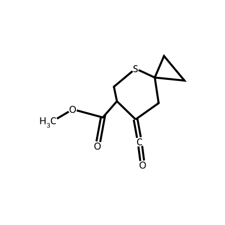 COC(=O)C1CSC2(CC2)CC1=C=O